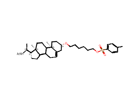 CC(=O)N[C@@H](C)[C@H]1CCC2C3CC=C4C[C@@H](OCCCCCCOS(=O)(=O)c5ccc(C)cc5)CC[C@]4(C)C3CC[C@@]21C